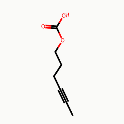 CC#CCCCOC(=O)O